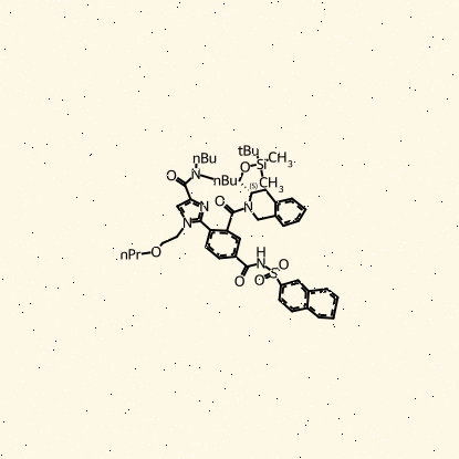 CCCCN(CCCC)C(=O)c1cn(CCOCCC)c(-c2ccc(C(=O)NS(=O)(=O)c3ccc4ccccc4c3)cc2C(=O)N2Cc3ccccc3C[C@H]2CO[Si](C)(C)C(C)(C)C)n1